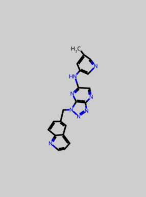 Cc1cncc(Nc2cnc3nnn(Cc4ccc5ncccc5c4)c3n2)c1